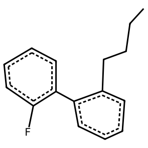 CCCCc1ccccc1-c1ccccc1F